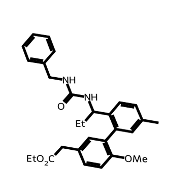 CCOC(=O)Cc1ccc(OC)c(-c2cc(C)ccc2C(CC)NC(=O)NCc2ccccc2)c1